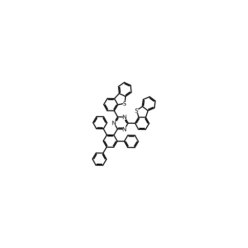 c1ccc(-c2cc(-c3ccccc3)c(-c3nc(-c4cccc5c4sc4ccccc45)nc(-c4cccc5c4sc4ccccc45)n3)c(-c3ccccc3)c2)cc1